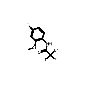 COc1cc(F)ccc1NC(=O)C(F)(F)Br